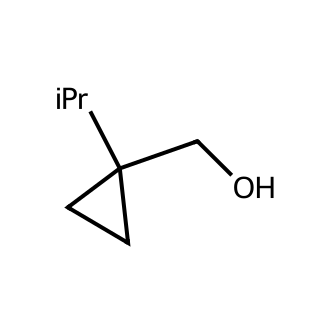 CC(C)C1(CO)CC1